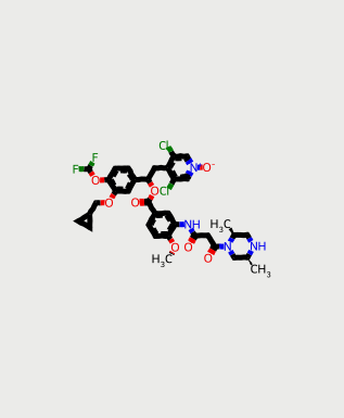 COc1ccc(C(=O)OC(Cc2c(Cl)c[n+]([O-])cc2Cl)c2ccc(OC(F)F)c(OCC3CC3)c2)cc1NC(=O)CC(=O)N1C[C@@H](C)NC[C@@H]1C